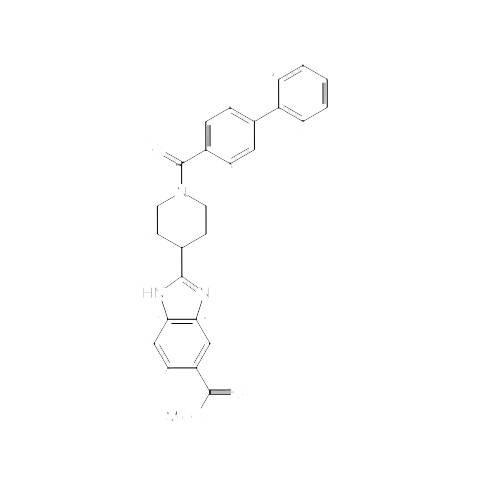 COC(=O)c1ccc2[nH]c(C3CCN(C(=O)c4ccc(-c5ccccc5)cc4)CC3)nc2c1